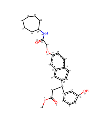 COC(=O)CC(c1cccc(O)c1)c1ccc2ccc(OCC(=O)NC3CCCCCC3)cc2c1